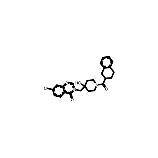 O=C(C1CCc2ccccc2C1)N1CCC(O)(Cn2cnc3cc(Cl)ccc3c2=O)CC1